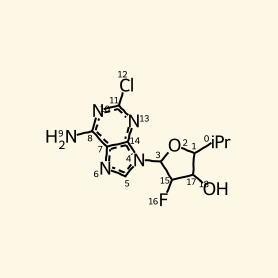 CC(C)C1OC(n2cnc3c(N)nc(Cl)nc32)C(F)C1O